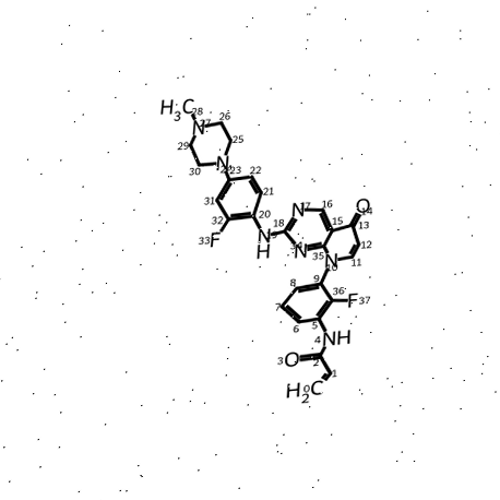 C=CC(=O)Nc1cccc(-n2ccc(=O)c3cnc(Nc4ccc(N5CCN(C)CC5)cc4F)nc32)c1F